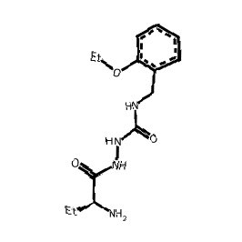 CCOc1ccccc1CNC(=O)NNC(=O)[C@@H](N)CC